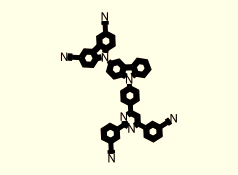 N#Cc1cccc(-c2cc(-c3ccc(-n4c5ccccc5c5cc(-n6c7ccc(C#N)cc7c7cc(C#N)ccc76)ccc54)cc3)nc(-c3cccc(C#N)c3)n2)c1